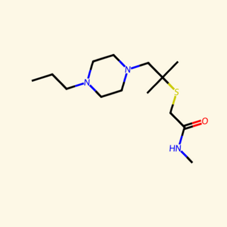 CCCN1CCN(CC(C)(C)SCC(=O)NC)CC1